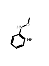 CONc1ccccc1.F